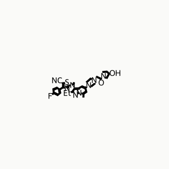 CCc1nn2c(C)cc(N3CCN(CC(=O)N4CCC(O)C4)CC3)cc2c1N(C)c1nc(-c2ccc(F)cc2)c(C#N)s1